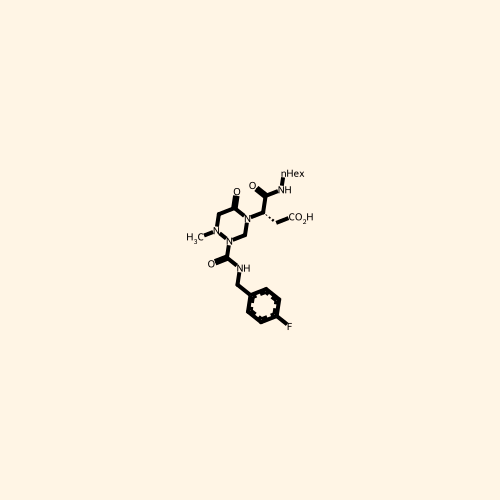 CCCCCCNC(=O)[C@H](CC(=O)O)N1CN(C(=O)NCc2ccc(F)cc2)N(C)CC1=O